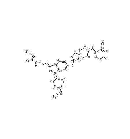 CC(C)(C)OC(=O)NCCCn1cc(-c2ccc(OC(F)(F)F)cc2)c2cc(CN3CCC4(CCN(Cc5ccccc5Cl)CC4)C3)ccc21